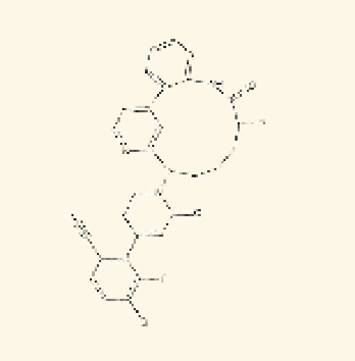 C[C@@H]1CCC[C@H](N2CCC(c3c(C#N)ccc(Cl)c3F)=CC2=O)c2cc(ccn2)-c2ccccc2NC1=O